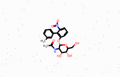 CC(=O)NC1[C@H](Oc2cccc([N+](=O)[O-])c2-c2cccc(C)c2)OC(CO)[C@H](O)[C@@H]1O